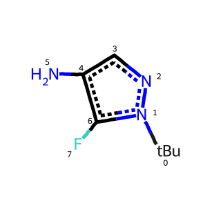 CC(C)(C)n1ncc(N)c1F